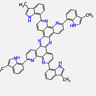 Cc1c[nH]c2c(-c3ccc4c(n3)c3nc(-c5cccc6c(C)c[nH]c56)ccc3c3nc5c6ccc(-c7cccc8c(C)c[nH]c78)nc6c6nc(-c7cccc8c(C)c[nH]c78)ccc6c5nc43)cccc12